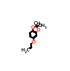 C=CCOc1ccc2c(c1)OC(C)(C)O2